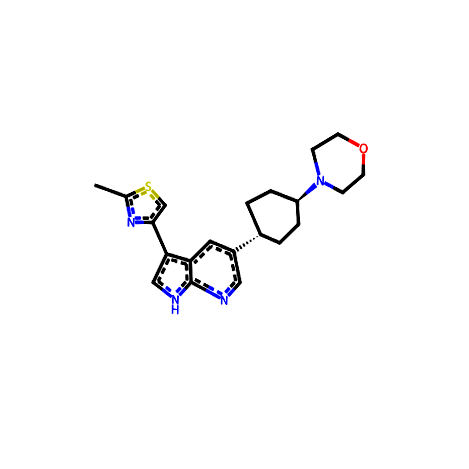 Cc1nc(-c2c[nH]c3ncc([C@H]4CC[C@H](N5CCOCC5)CC4)cc23)cs1